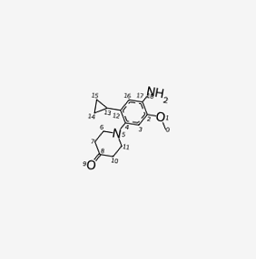 COc1cc(N2CCC(=O)CC2)c(C2CC2)cc1N